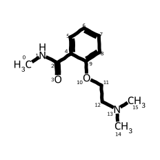 CNC(=O)c1ccccc1OCCN(C)C